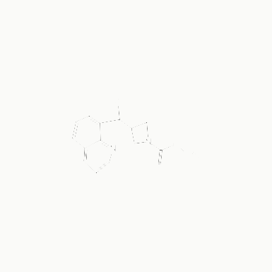 CC(c1cccc2cccnc12)C1CN(C(=O)OC(C)(C)C)C1